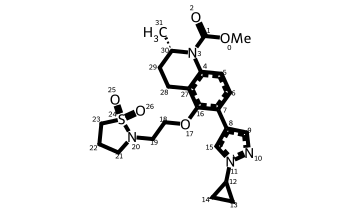 COC(=O)N1c2ccc(-c3cnn(C4CC4)c3)c(OCCN3CCCS3(=O)=O)c2CC[C@@H]1C